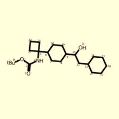 CC(C)(C)OC(=O)NC1(C2CCC(C(O)CC3CCCCC3)CC2)CCC1